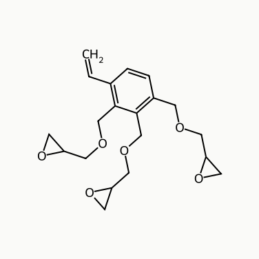 C=Cc1ccc(COCC2CO2)c(COCC2CO2)c1COCC1CO1